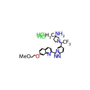 COCCOc1ccc2ccc(-c3nnc4ccc([C@@H](N5CCC(C)(N)C5)C(F)(F)F)cn34)nc2c1.Cl.Cl